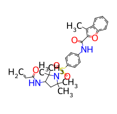 C=CC(=O)NC1CC(C)(C)N(S(=O)(=O)c2ccc(NC(=O)c3oc4ccccc4c3C)cc2)C1(C)C